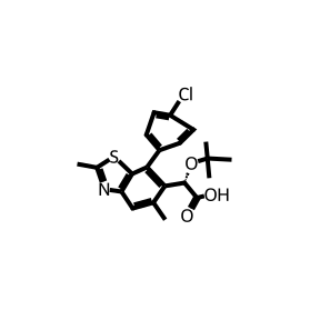 Cc1nc2cc(C)c([C@H](OC(C)(C)C)C(=O)O)c(-c3ccc(Cl)cc3)c2s1